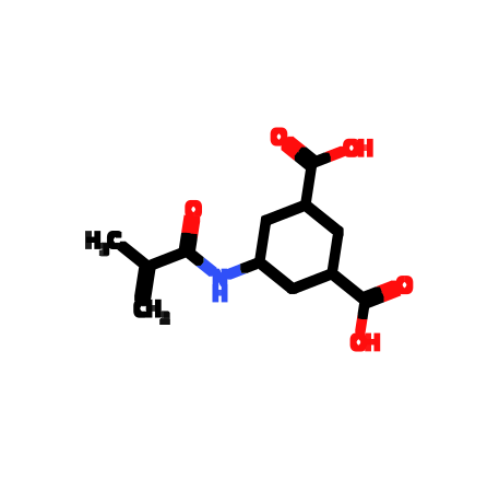 C=C(C)C(=O)NC1CC(C(=O)O)CC(C(=O)O)C1